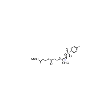 COC(C)CCOC(=O)CCS/C(C=O)=N\OS(=O)(=O)c1ccc(C)cc1